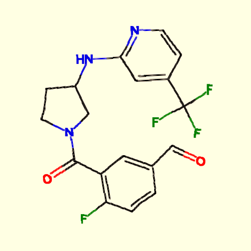 O=Cc1ccc(F)c(C(=O)N2CCC(Nc3cc(C(F)(F)F)ccn3)C2)c1